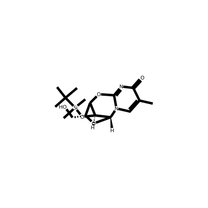 Cc1cn2c(nc1=O)OC1[C@@H](CO)O[C@@H]2[C@H]1O[Si](C)(C)C(C)(C)C